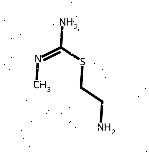 C/N=C(/N)SCCN